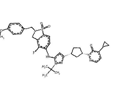 COc1ccc(CN2Cc3c(ccc(Nc4cc([C@@H]5CC[C@H](n6nccc(C7CC7)c6=O)C5)nn4C(C)(C)C)c3F)S2(=O)=O)cc1